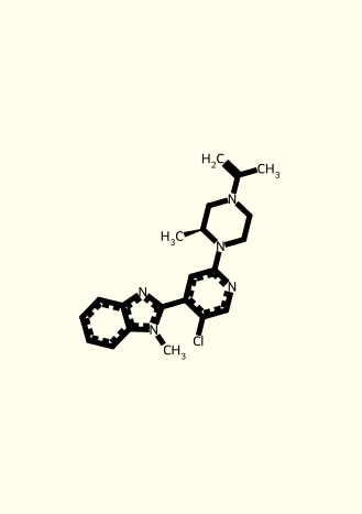 C=C(C)N1CCN(c2cc(-c3nc4ccccc4n3C)c(Cl)cn2)[C@@H](C)C1